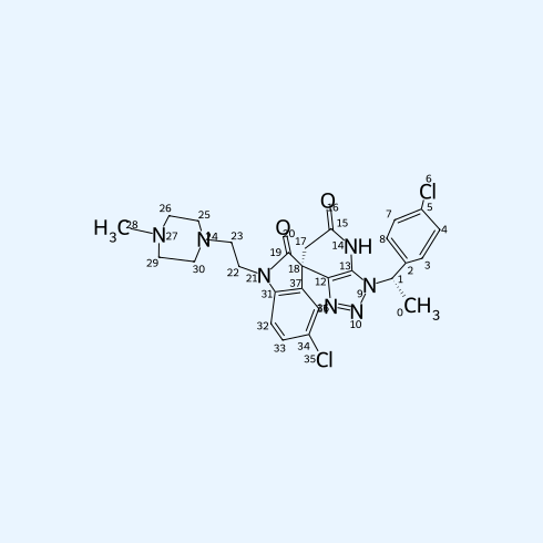 C[C@@H](c1ccc(Cl)cc1)n1nnc2c1NC(=O)C[C@]21C(=O)N(CCN2CCN(C)CC2)c2ccc(Cl)cc21